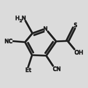 CCc1c(C#N)c(N)nc(C(O)=S)c1C#N